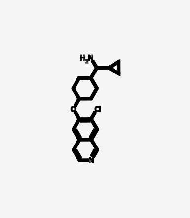 NC(C1CCC(Oc2cc3ccncc3cc2Cl)CC1)C1CC1